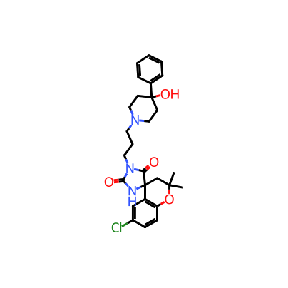 CC1(C)CC2(NC(=O)N(CCCN3CCC(O)(c4ccccc4)CC3)C2=O)c2cc(Cl)ccc2O1